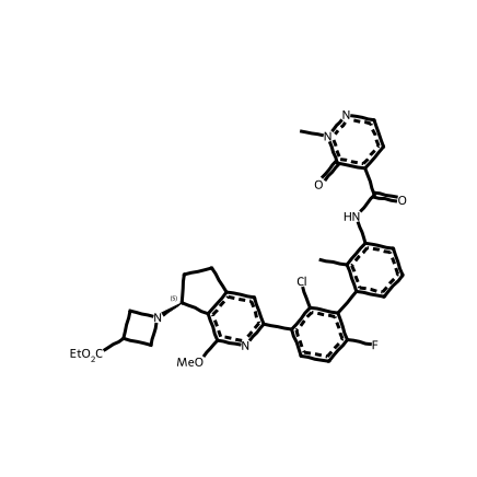 CCOC(=O)C1CN([C@H]2CCc3cc(-c4ccc(F)c(-c5cccc(NC(=O)c6ccnn(C)c6=O)c5C)c4Cl)nc(OC)c32)C1